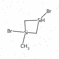 C[Si]1(Br)C[SiH](Br)C1